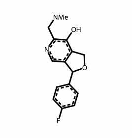 CNCc1ncc2c(c1O)COC2c1ccc(F)cc1